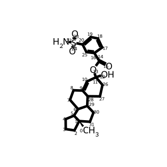 C[C@@]12CCCC1C1CCC3=CC(O)(OC(=O)c4cccc(S(N)(=O)=O)c4)CCC3C1CC2